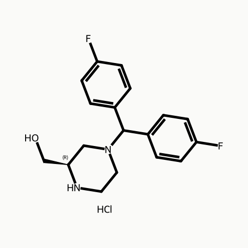 Cl.OC[C@H]1CN(C(c2ccc(F)cc2)c2ccc(F)cc2)CCN1